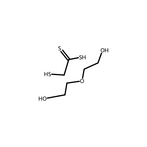 OCCOCCO.S=C(S)CS